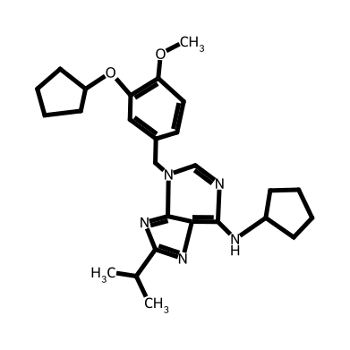 COc1ccc(Cn2cnc(NC3CCCC3)c3nc(C(C)C)nc2-3)cc1OC1CCCC1